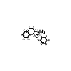 O=S(=O)(NC1CCc2ccc[c]c2C1)c1ccccc1